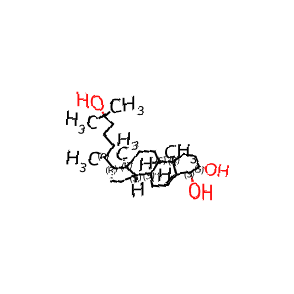 C[C@H](CCCC(C)(C)O)[C@H]1CC[C@H]2[C@@H]3CC=C4[C@H](O)[C@@H](O)CC[C@]4(C)[C@H]3CC[C@]12C